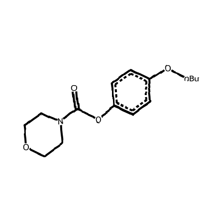 CCCCOc1ccc(OC(=O)N2CCOCC2)cc1